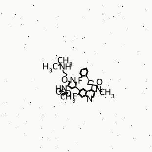 CC(C)NCCOc1ncc(-c2cc3c(cc2F)ncc2c3[C@]3(C[C@H](c4ccccc4F)C3)C(=O)N2C)cc1NS(C)(=O)=O